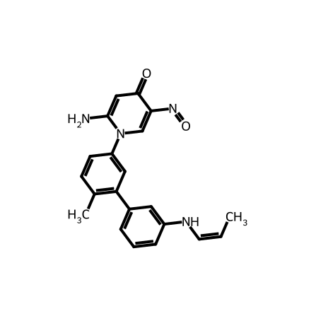 C/C=C\Nc1cccc(-c2cc(-n3cc(N=O)c(=O)cc3N)ccc2C)c1